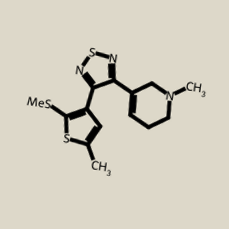 CSc1sc(C)cc1-c1nsnc1C1=CCCN(C)C1